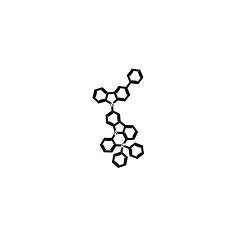 c1ccc(-c2ccc3c(c2)c2ccccc2n3-c2ccc3c(c2)c2cccc4c2n3-c2ccccc2S4(c2ccccc2)c2ccccc2)cc1